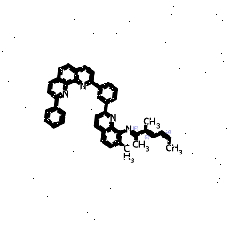 C\C=C/C=C(C)/C(C)=N/c1c(C)ccc2ccc(-c3cccc(-c4ccc5ccc6ccc(-c7ccccc7)nc6c5n4)c3)nc12